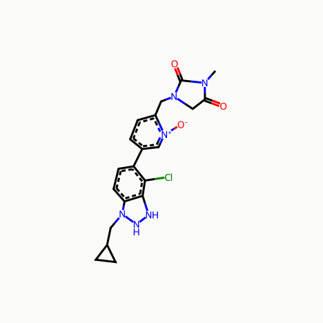 CN1C(=O)CN(Cc2ccc(-c3ccc4c(c3Cl)NNN4CC3CC3)c[n+]2[O-])C1=O